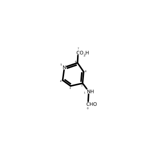 O=CNc1ccnc(C(=O)O)c1